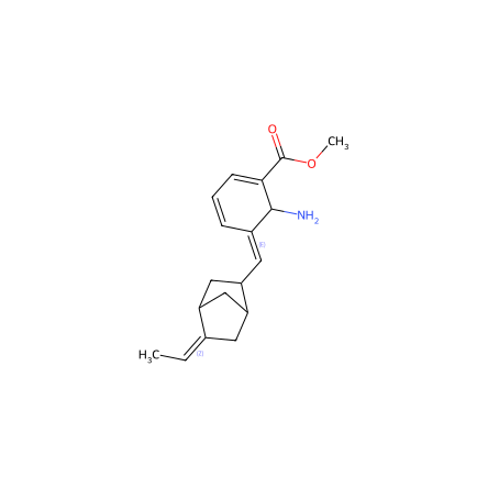 C/C=C1/CC2CC1CC2/C=C1\C=CC=C(C(=O)OC)C1N